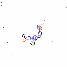 O=C(C1CCC1)N1CCN(C(=O)N(Cc2cn3ccc(-c4nnc(C(F)F)o4)cc3n2)c2ccccc2)CC1